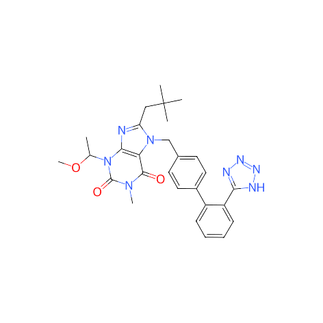 COC(C)n1c(=O)n(C)c(=O)c2c1nc(CC(C)(C)C)n2Cc1ccc(-c2ccccc2-c2nnn[nH]2)cc1